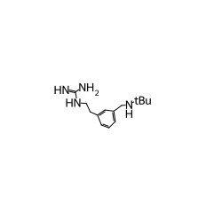 CC(C)(C)NCc1cccc(CCNC(=N)N)c1